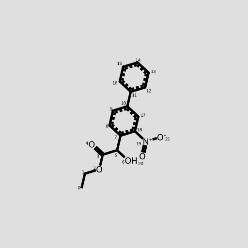 CCOC(=O)C(O)c1ccc(-c2ccccc2)cc1[N+](=O)[O-]